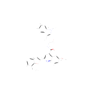 CCn1cc(C[C@H](CO)NC(=O)c2cc(-c3cc4cccc(OC)c4o3)nc3ccc(OC(F)(F)F)cc23)c2ccccc21